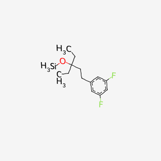 CCC(CC)(CCc1cc(F)cc(F)c1)O[SiH3]